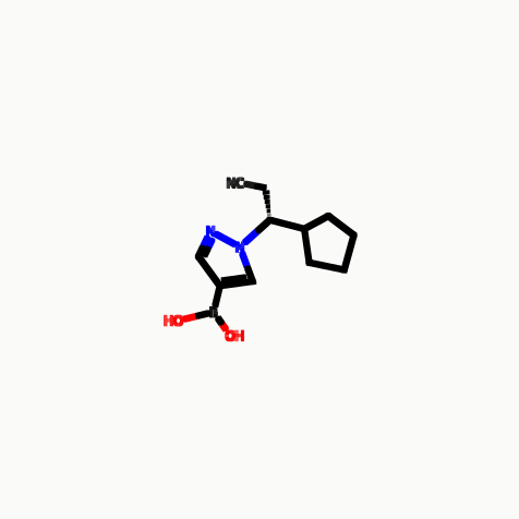 N#CC[C@H](C1CCCC1)n1cc(B(O)O)cn1